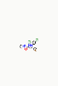 O=C(NN1CCCCC1)C1=NN(c2ccc(Cl)cc2Cl)C(c2ccsc2)C1